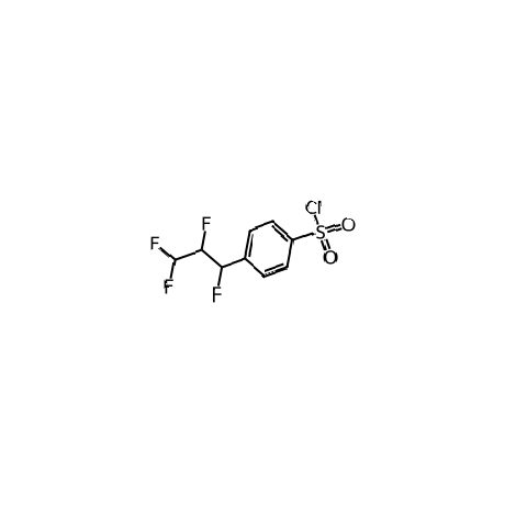 O=S(=O)(Cl)c1ccc(C(F)C(F)C(F)F)cc1